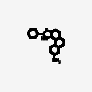 Nc1ccc2c(ccc3ccc4c(c32)NC(c2ccccc2)S4)c1